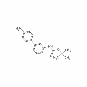 CC(C)(C)OC(=O)Nc1cccc(-c2ccc(N)cc2)c1